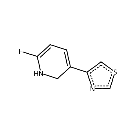 FC1=CC=C(c2cscn2)CN1